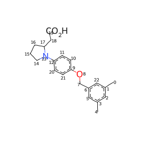 Cc1cc(C)cc(COc2ccc(N3CCCC3CC(=O)O)cc2)c1